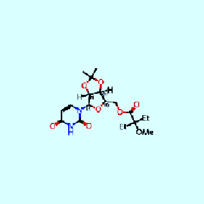 CCC(CC)(OC)C(=O)OC[C@H]1O[C@@H](n2ccc(=O)[nH]c2=O)[C@@H]2OC(C)(C)O[C@@H]21